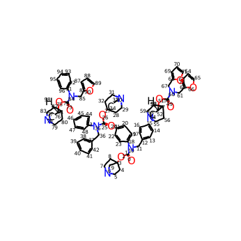 O=C(OC12CCN(CC1)C2)N(Cc1ccccc1)c1ccccc1.O=C(OC12CCN(CC1)CC2)N(Cc1ccccc1)c1ccccc1.O=C(O[C@H]1CN2CCC1CC2)N(Cc1ccco1)Cc1ccco1.O=C(O[C@H]1CN2CCC1CC2)N(Cc1ccco1)c1ccccc1